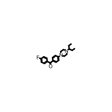 CCC(CC)N1CCN(c2ccc(C(=O)c3ccc(F)cc3)cc2)CC1